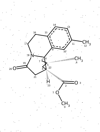 COC(=O)[C@@H]1[C@@H](C)C[C@@]23c4cc(C)ccc4CCN2C(=O)C[C@@H]13